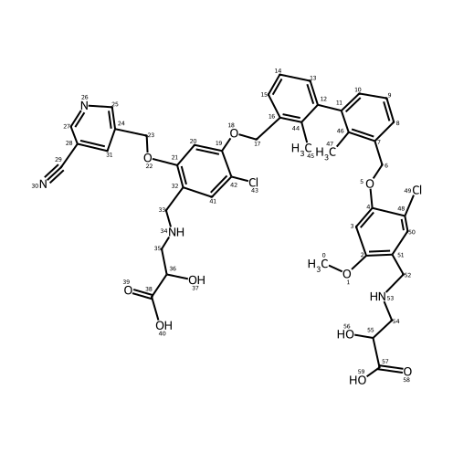 COc1cc(OCc2cccc(-c3cccc(COc4cc(OCc5cncc(C#N)c5)c(CNCC(O)C(=O)O)cc4Cl)c3C)c2C)c(Cl)cc1CNCC(O)C(=O)O